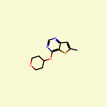 Cc1cc2ncnc(OC3CCOCC3)c2s1